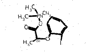 C[C@H](Oc1ccccc1I)C(=O)O[PH](C)(C)C